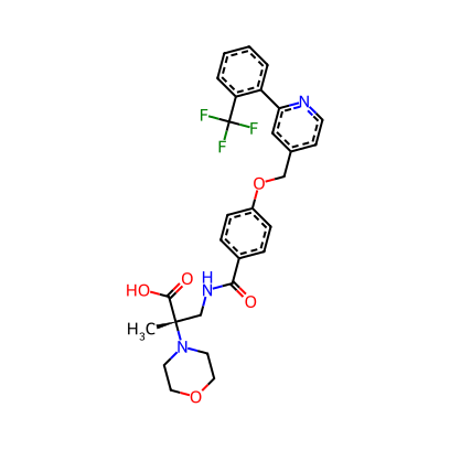 C[C@](CNC(=O)c1ccc(OCc2ccnc(-c3ccccc3C(F)(F)F)c2)cc1)(C(=O)O)N1CCOCC1